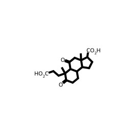 CC1(CCC(=O)O)C(=O)CCC2C1C(=O)CC1(C)C(C(=O)O)CCC21